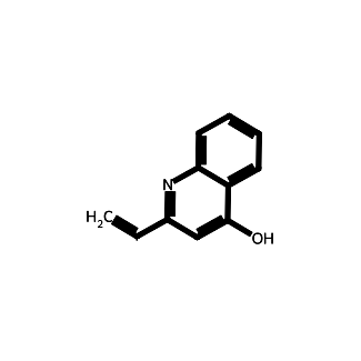 C=[C]c1cc(O)c2ccccc2n1